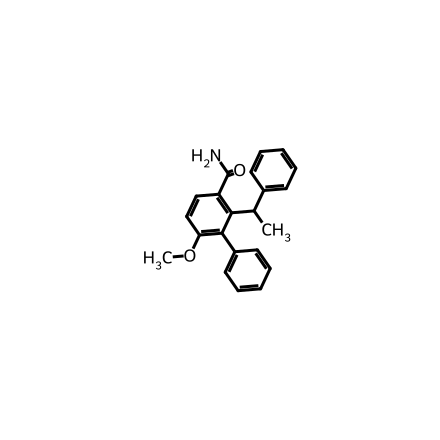 COc1ccc(C(N)=O)c(C(C)c2ccccc2)c1-c1ccccc1